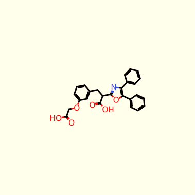 O=C(O)COc1cccc(CC(C(=O)O)c2nc(-c3ccccc3)c(-c3ccccc3)o2)c1